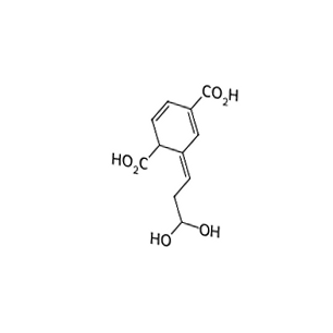 O=C(O)C1=CC(=CCC(O)O)C(C(=O)O)C=C1